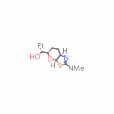 CC[C@@H](O)[C@H]1CC[C@H]2N=C(NC)S[C@H]2O1